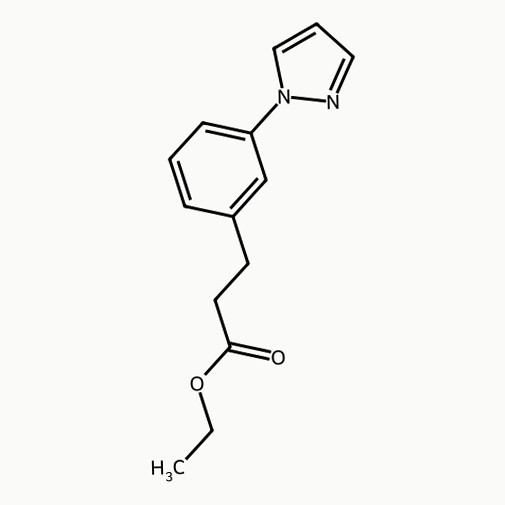 CCOC(=O)CCc1cccc(-n2cccn2)c1